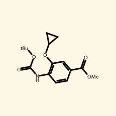 COC(=O)c1ccc(NC(=O)OC(C)(C)C)c(OC2CC2)c1